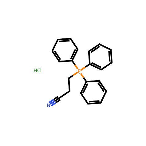 Cl.N#CCC[P](c1ccccc1)(c1ccccc1)c1ccccc1